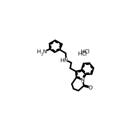 Cl.Cl.Nc1cccc(CNCCc2c3n(c4ccccc24)C(=O)CCC3)c1